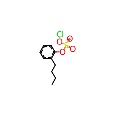 CCCCc1ccccc1OS(=O)(=O)OCl